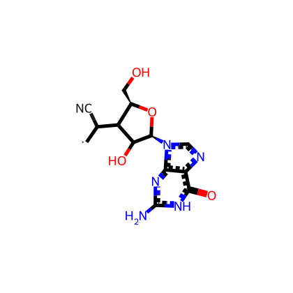 [CH2]C(C#N)C1C(O)[C@H](n2cnc3c(=O)[nH]c(N)nc32)O[C@@H]1CO